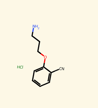 Cl.N#Cc1ccccc1OCCCN